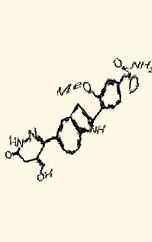 COc1cc(S(N)(=O)=O)ccc1-c1cc2cc(C3=NNC(=O)CC3CO)ccc2[nH]1